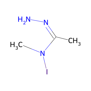 CC(=NN)N(C)I